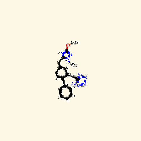 CCCCOc1nc(Cc2ccc(-c3ccccc3)c(-c3nnn[nH]3)c2)n(CCCC)n1